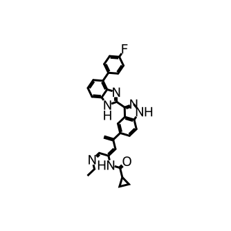 C=C(/C=C(\C=N/CC)NC(=O)C1CC1)c1ccc2[nH]nc(-c3nc4c(-c5ccc(F)cc5)cccc4[nH]3)c2c1